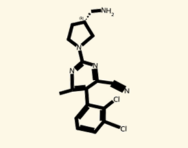 Cc1nc(N2CC[C@H](CN)C2)nc(C#N)c1-c1cccc(Cl)c1Cl